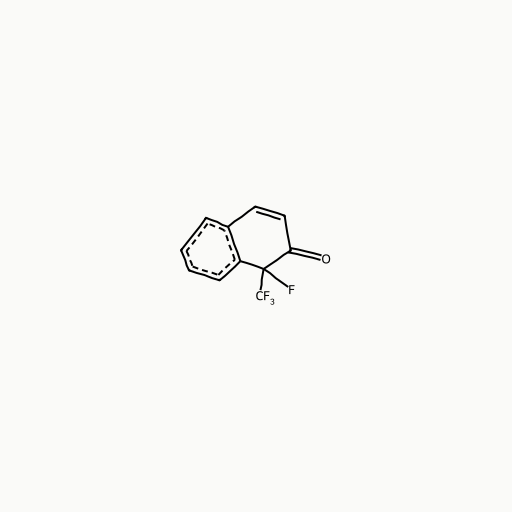 O=C1C=Cc2ccccc2C1(F)C(F)(F)F